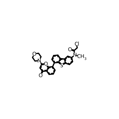 CN(C(=O)CCl)c1ccc2sc3c(-c4cccc5c(=O)cc(N6CCOCC6)oc45)cccc3c2c1